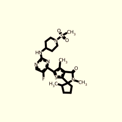 Cc1c(-c2nc(NC3CCN(S(C)(=O)=O)CC3)ncc2F)sc2c1C(=O)N(C)C21CCCC1C